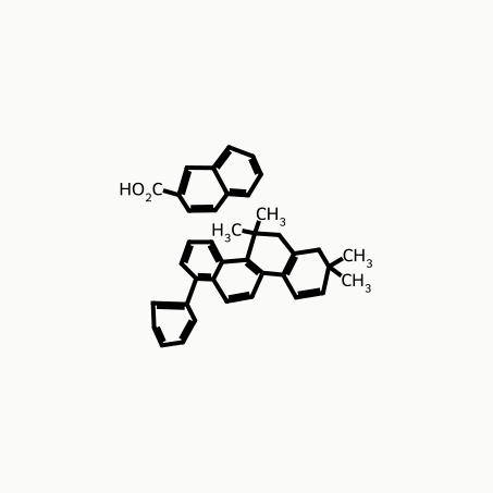 CC1(C)C=CC2=C(C1)CC(C)(C)c1c2ccc2c(-c3ccccc3)cccc12.O=C(O)c1ccc2ccccc2c1